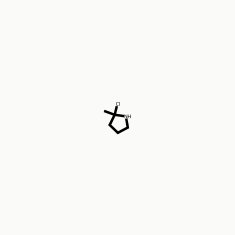 CC1(Cl)CCCN1